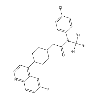 [2H]C([2H])([2H])N(C(=O)CC1CCC(c2ccnc3ccc(F)cc23)CC1)c1ccc(Cl)cc1